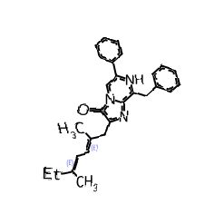 CC/C(C)=C/C=C(\C)Cc1nc2c(Cc3ccccc3)[nH]c(-c3ccccc3)cn-2c1=O